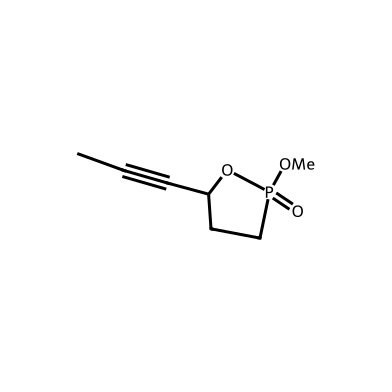 CC#CC1CCP(=O)(OC)O1